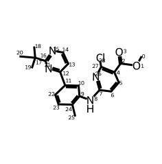 COC(=O)c1ccc(Nc2cc(-c3ccnc(C(C)(C)C)n3)ccc2C)nc1Cl